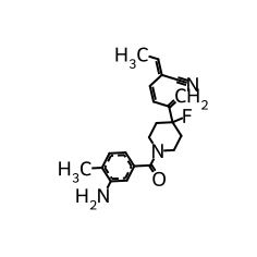 C=C(/C=C\C(C#N)=C/C)C1(F)CCN(C(=O)c2ccc(C)c(N)c2)CC1